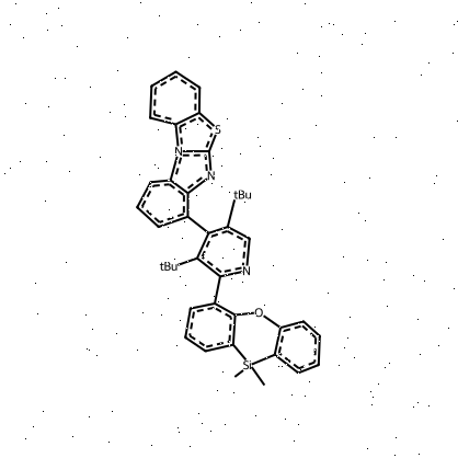 CC(C)(C)c1cnc(-c2cccc3c2Oc2ccccc2[Si]3(C)C)c(C(C)(C)C)c1-c1cccc2c1nc1sc3ccccc3n12